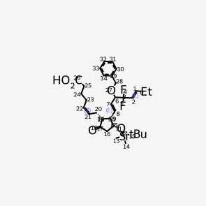 CC/C=C/C(F)(F)C(/C=C/[C@H]1[C@H](O[Si](C)(C)C(C)(C)C)CC(=O)[C@@H]1C/C=C\CCCC(=O)O)OCc1ccccc1